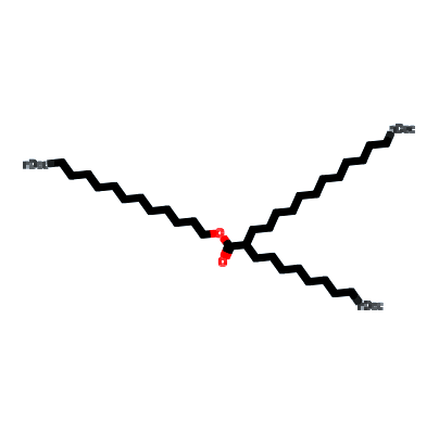 CCCCCCCCCCCCCCCCCCCCCCOC(=O)C(CCCCCCCCCCCCCCCCCC)CCCCCCCCCCCCCCCCCCCCCC